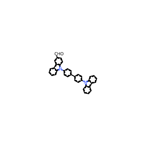 O=Cc1ccc2c(c1)c1ccccc1n2-c1ccc(-c2ccc(-n3c4ccccc4c4ccccc43)cc2)cc1